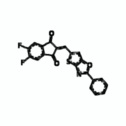 O=C1C(=Cc2cc3oc(-c4ccccc4)nc3s2)C(=O)c2cc(F)c(F)cc21